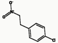 O=[N+]([O-])CCc1ccc(Cl)cc1